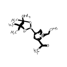 CCn1cc(B2OC(C)(C)C(C)(C)O2)cc1C(C)=O